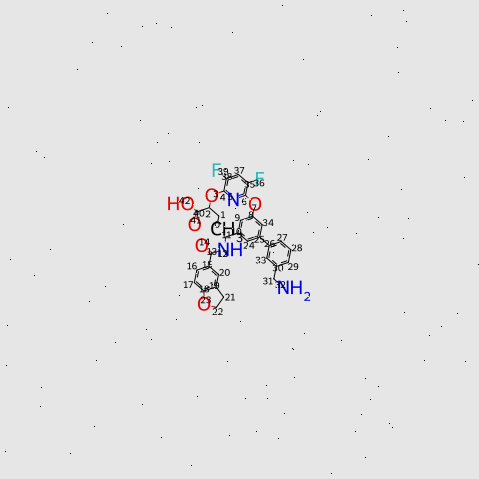 CCC(Oc1nc(Oc2cc(CNC(=O)c3ccc4c(c3)CCO4)cc(-c3cccc(CN)c3)c2)c(F)cc1F)C(=O)O